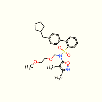 COCCOCN(c1onc(C)c1C)S(=O)(=O)c1ccccc1-c1ccc(CC2CCCC2)cc1